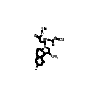 CC1CN(C(=NC(=O)OC(C)(C)C)NC(=O)OC(C)(C)C)c2ccc3cc(F)ccc3c21